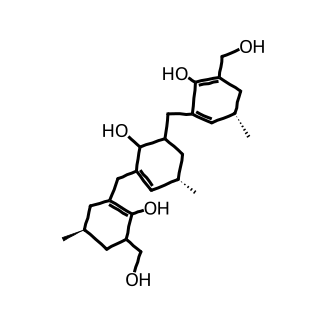 C[C@H]1CC(CC2=C[C@@H](C)CC(CC3=C[C@@H](C)CC(CO)=C3O)C2O)=C(O)C(CO)C1